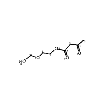 CC(=O)CC(=O)OCCOCO